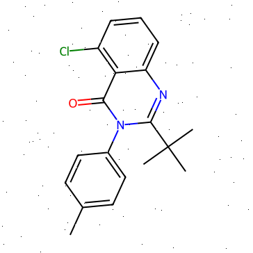 Cc1ccc(-n2c(C(C)(C)C)nc3cccc(Cl)c3c2=O)cc1